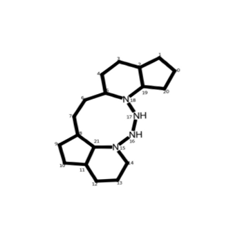 C1CC2CCC3CCC4CCC5CCCN(NNN3C2C1)C54